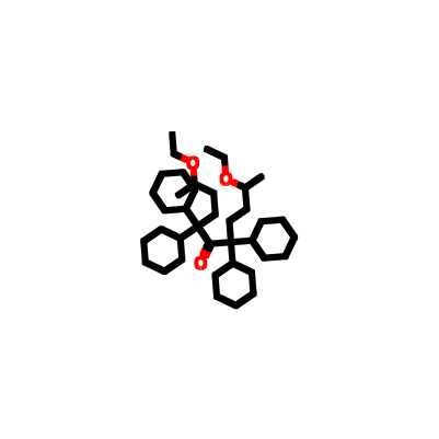 CCOC(C)CCC(C(=O)C(CCC(C)OCC)(C1CCCCC1)C1CCCCC1)(C1CCCCC1)C1CCCCC1